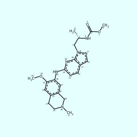 COC(=O)N[C@@H](C)Cn1ncc2cnc(Nc3cc4c(cc3OC)CCN(C)C4)nc21